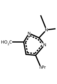 CCCc1cc(C(=O)O)nc(N(C)C)n1